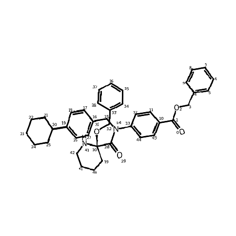 O=C(OCc1ccccc1)c1ccc(N(Cc2ccc(C3CCCCC3)cc2)C(=O)[C@]2(OCc3ccccc3)CCCCN2)cc1